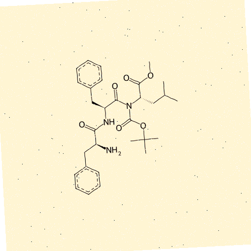 COC(=O)[C@H](CC(C)C)N(C(=O)OC(C)(C)C)C(=O)[C@H](Cc1ccccc1)NC(=O)[C@@H](N)Cc1ccccc1